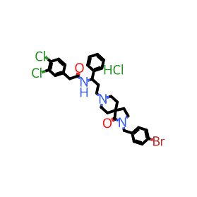 Cl.O=C(Cc1ccc(Cl)c(Cl)c1)NC(CCN1CCC2(CC1)CCN(Cc1ccc(Br)cc1)C2=O)c1ccccc1